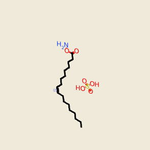 CCCCCCCC/C=C\CCCCCCCC(=O)ON.O=S(=O)(O)O